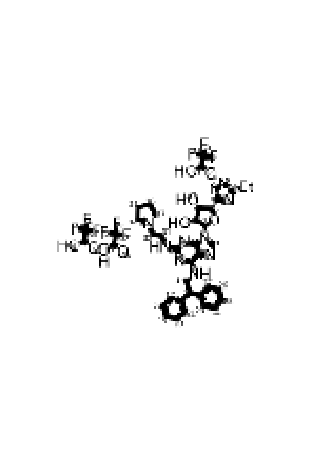 CCn1nnc([C@H]2O[C@@H](n3cnc4c(NCC(c5ccccc5)c5ccccc5)nc(NCCN5CCCC5)nc43)[C@H](O)[C@@H]2O)n1.O=C(O)C(F)(F)F.O=C(O)C(F)(F)F.O=C(O)C(F)(F)F